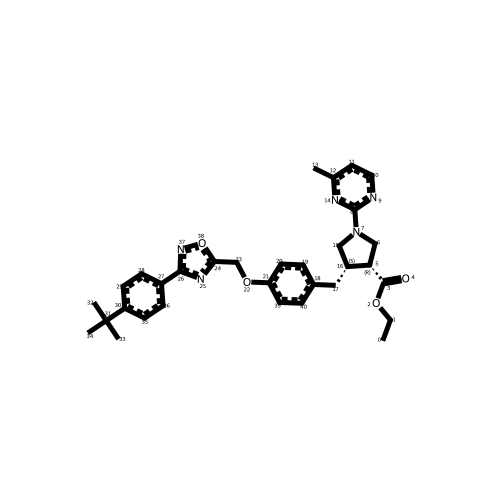 CCOC(=O)[C@H]1CN(c2nccc(C)n2)C[C@H]1Cc1ccc(OCc2nc(-c3ccc(C(C)(C)C)cc3)no2)cc1